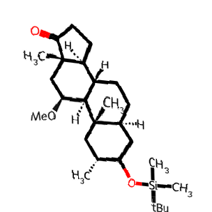 CO[C@H]1C[C@]2(C)C(=O)CC[C@H]2[C@@H]2CC[C@H]3CC(O[Si](C)(C)C(C)(C)C)[C@H](C)C[C@]3(C)[C@H]21